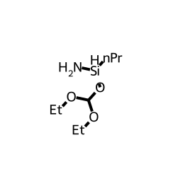 CCC[SiH](N)OC(OCC)OCC